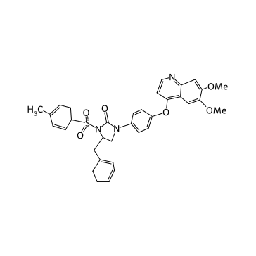 COc1cc2nccc(Oc3ccc(N4CC(CC5=CC=CCC5)N(S(=O)(=O)C5C=CC(C)=CC5)C4=O)cc3)c2cc1OC